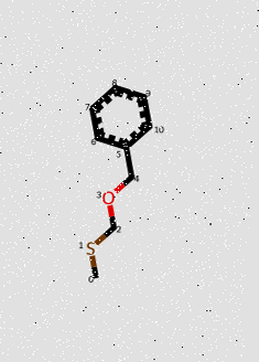 CSCOCc1ccccc1